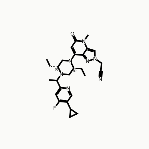 CC[C@H]1CN(C(C)c2cc(F)c(C3CC3)cn2)[C@H](CC)CN1c1cc(=O)n(C)c2cn(CC#N)nc12